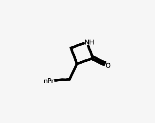 CCCCC1CNC1=O